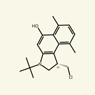 Cc1ccc(C)c2c3c(cc(O)c12)N(C(C)(C)C)C[C@H]3CCl